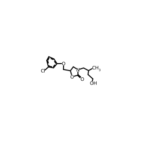 CC(CCO)CN1CC(COc2cccc(Cl)c2)OC1=O